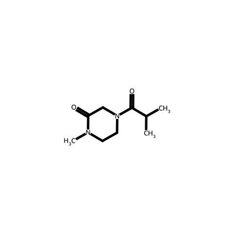 CC(C)C(=O)N1CCN(C)C(=O)C1